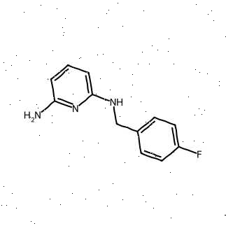 Nc1[c]ccc(NCc2ccc(F)cc2)n1